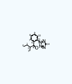 CCC(C)C(=O)c1ccccc1-n1ncnn1